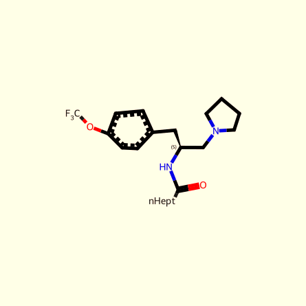 CCCCCCCC(=O)N[C@@H](Cc1ccc(OC(F)(F)F)cc1)CN1CCCC1